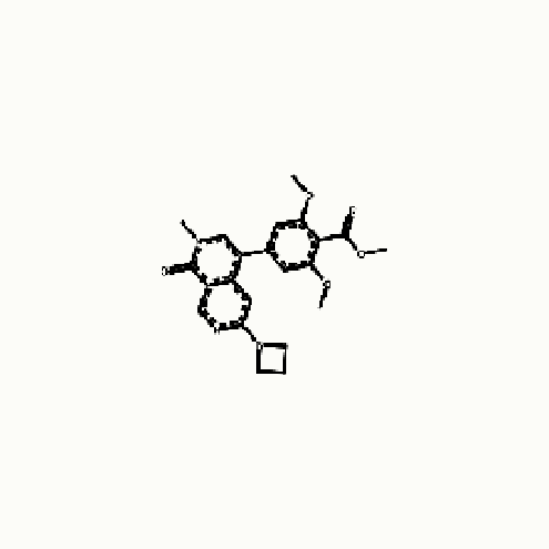 COC(=O)c1c(OC)cc(-c2cn(C)c(=O)c3cnc(N4CCC4)cc23)cc1OC